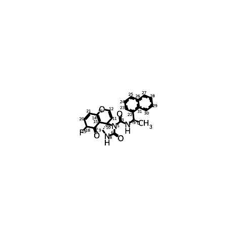 C[C@@H](NC(=O)N1C(=O)NC[C@]12C=COC1=C2C(=O)C(F)C=C1)c1cccc2ccccc12